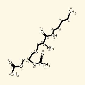 CC(=O)OC[C@H](CSC[C@H](N)C(=O)NCCCCN)OC(C)=O